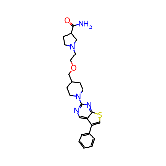 NC(=O)C1CCN(CCOCC2CCN(c3ncc4c(-c5ccccc5)csc4n3)CC2)C1